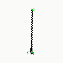 ClCCCCCCCCCCCCCCCCCCCCCCCCCCCCCCCCCCCC[SiH](Cl)Cl